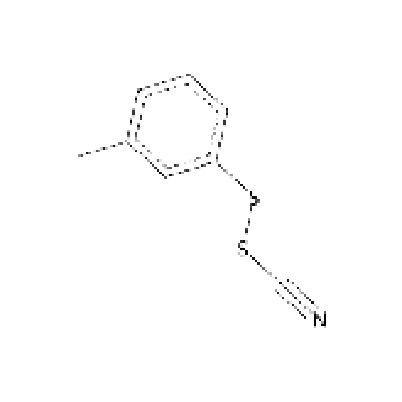 Cc1cccc(SSC#N)c1